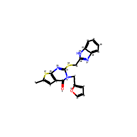 Cc1cc2c(=O)n(Cc3ccco3)c(SCc3nc4ccccc4[nH]3)nc2s1